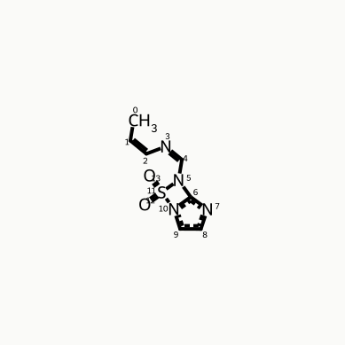 C/C=C\N=C/N1c2nccn2S1(=O)=O